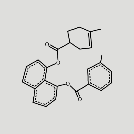 CC1=CCC(C(=O)Oc2cccc3cccc(OC(=O)c4cccc(C)c4)c23)CC1